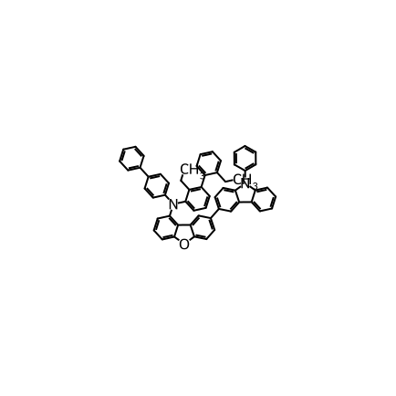 CCc1ccccc1-c1cccc(N(c2ccc(-c3ccccc3)cc2)c2cccc3oc4ccc(-c5ccc6c(c5)c5ccccc5n6-c5ccccc5)cc4c23)c1CC